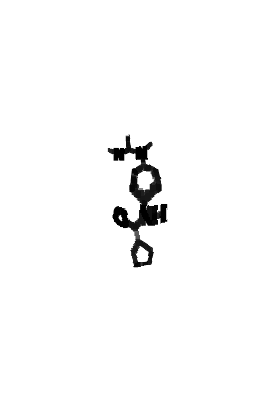 CN=C(C)N(C)c1ccc(NC(=O)C2CCCC2)cc1